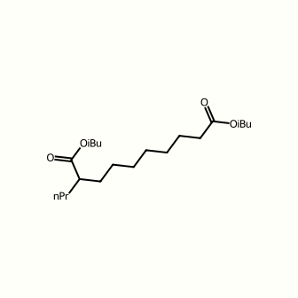 CCCC(CCCCCCCC(=O)OCC(C)C)C(=O)OCC(C)C